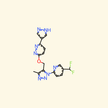 Cc1nnn(-c2ccc(C(F)F)cn2)c1COc1ccc(-c2cn[nH]c2)nn1